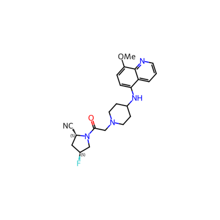 COc1ccc(NC2CCN(CC(=O)N3C[C@@H](F)C[C@H]3C#N)CC2)c2cccnc12